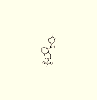 Cc1ccc(Nc2cccc3c2CCN(S(C)(=O)=O)C3)cc1